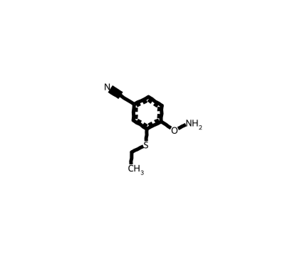 CCSc1cc(C#N)ccc1ON